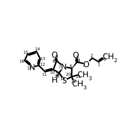 C=CCOC(=O)[C@@H]1N2C(=O)/C(=C\c3ccccn3)[C@H]2SC1(C)C